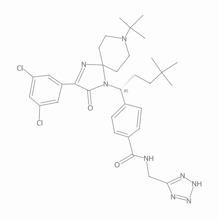 CC(C)(C)CC[C@H](c1ccc(C(=O)NCc2nn[nH]n2)cc1)N1C(=O)C(c2cc(Cl)cc(Cl)c2)=NC12CCN(C(C)(C)C)CC2